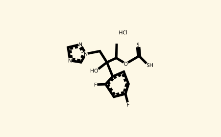 CC(OC(=S)S)C(O)(Cn1cncn1)c1ccc(F)cc1F.Cl